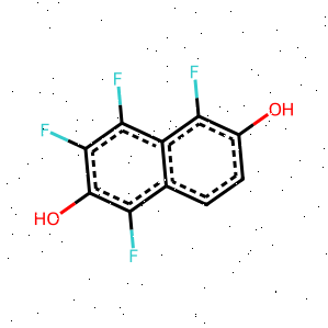 Oc1ccc2c(F)c(O)c(F)c(F)c2c1F